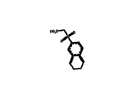 O=C(O)CS(=O)(=O)c1ccc2c(c1)=CCCC=2